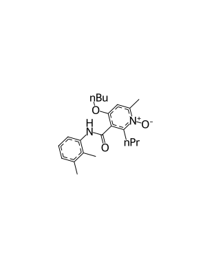 CCCCOc1cc(C)[n+]([O-])c(CCC)c1C(=O)Nc1cccc(C)c1C